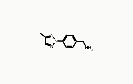 Cc1[c]nn(-c2ccc(CN)cc2)n1